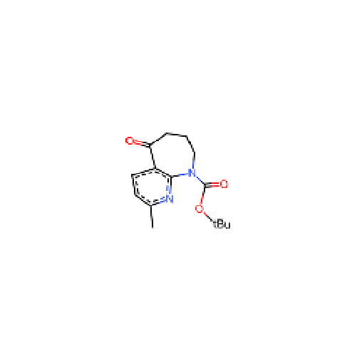 Cc1ccc2c(n1)N(C(=O)OC(C)(C)C)CCCC2=O